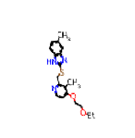 CCOCCOc1ccnc(CSc2nc3cc(C)ccc3[nH]2)c1C